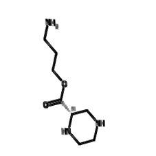 NCCCOC(=O)[C@@H]1CNCCN1